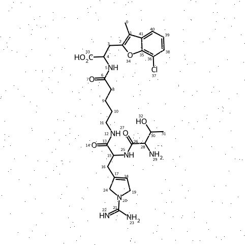 Cc1c(CC(NC(=O)CCCCNC(=O)C(CC2=CCN(C(=N)N)C2)NC(=O)C(N)C(C)O)C(=O)O)oc2c(Cl)cccc12